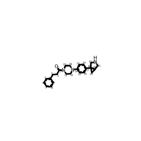 O=C(CCc1ccccc1)N1CCN(c2ccc(C34CNCC3C4)cc2)CC1